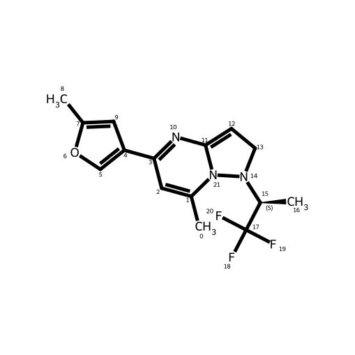 CC1=CC(c2coc(C)c2)=NC2=CCN([C@@H](C)C(F)(F)F)N12